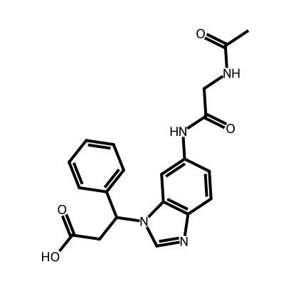 CC(=O)NCC(=O)Nc1ccc2ncn(C(CC(=O)O)c3ccccc3)c2c1